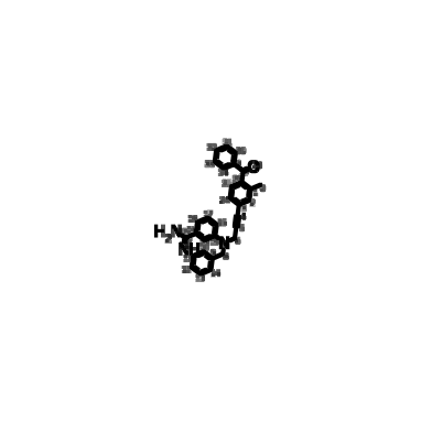 Cc1cc(C#CCN(Cc2ccccc2)c2cccc(C(=N)N)c2)ccc1C(=O)c1ccccc1